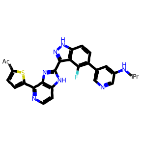 CC(=O)c1ccc(-c2nccc3[nH]c(-c4n[nH]c5ccc(-c6cncc(NC(C)C)c6)c(F)c45)nc23)s1